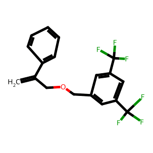 C=C(COCc1cc(C(F)(F)F)cc(C(F)(F)F)c1)c1ccccc1